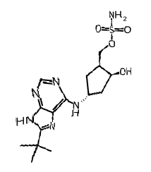 CC(C)(C)c1nc2c(N[C@@H]3C[C@@H](COS(N)(=O)=O)[C@@H](O)C3)ncnc2[nH]1